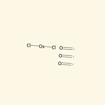 [C]=O.[C]=O.[C]=O.[Cl][Os][Cl]